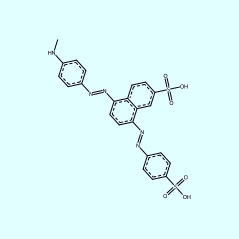 CNc1ccc(N=Nc2ccc(N=Nc3ccc(S(=O)(=O)O)cc3)c3cc(S(=O)(=O)O)ccc23)cc1